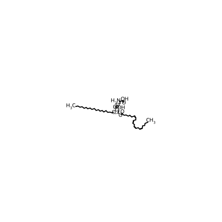 CCCCC/C=C\C/C=C\C/C=C\C/C=C\CCCCCC(=O)O[C@H](COCCCCCCCCCCCCCCCCCCCC)COP(=O)(O)OC[C@H](N)C(=O)O